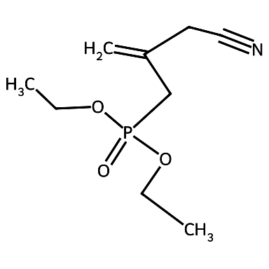 C=C(CC#N)CP(=O)(OCC)OCC